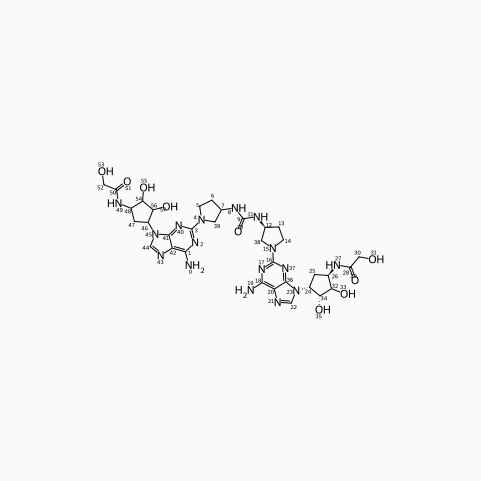 Nc1nc(N2CCC(NC(=O)N[C@H]3CCN(c4nc(N)c5ncn([C@@H]6C[C@@H](NC(=O)CO)C(O)[C@@H]6O)c5n4)C3)C2)nc2c1ncn2C1CC(NC(=O)CO)C(O)C1O